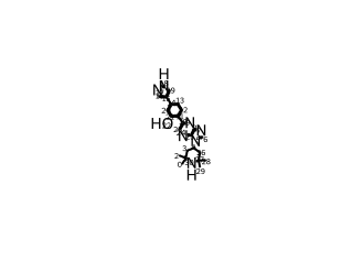 CC1(C)CC(n2cnc3nc(-c4ccc(-c5cn[nH]c5)cc4O)cnc32)CC(C)(C)N1